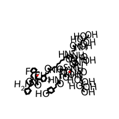 Cc1c(-c2cccc(CCC(=O)NCCCCCCCC(=O)N[C@H](CCC(=O)NC[C@H](O)[C@@H](O)[C@H](O)[C@H](O)CO)C(=O)N[C@H](CCC(=O)O)C(=O)N[C@H](CCC(=O)NC[C@H](O)[C@@H](O)[C@H](O)[C@H](O)CO)C(=O)N[C@H](CSC3CC(=O)N(CCNC(=O)CCc4ccc(O)cc4)C3=O)C(=O)O)c2)c(=O)n(C[C@@H](N)c2ccccc2)c(=O)n1Cc1c(F)cccc1F